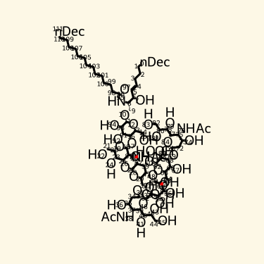 CCCCCCCCCCCCC/C=C/[C@@H](O)[C@H](CO[C@@H]1OC(CO)[C@@H](O[C@@H]2OC(CO)[C@H](O)[C@H](O[C@@H]3OC(CO[C@]4(C(=O)O)CC(O)[C@@H](NC(C)=O)C([C@H](O)[C@H](O)CO)O4)[C@@H](O[C@H]4OC(C)[C@@H](O)C(O)[C@@H]4O)[C@H](O[C@@H]4OC(CO)[C@H](O)[C@H](O[C@]5(C(=O)O)CC(O)[C@@H](NC(C)=O)C([C@H](O)[C@H](O)CO)O5)C4O)C3NC(C)=O)C2O)[C@H](O)C1O)NC(=O)CCCCCCCCCCCCCCCCCCCCCCC